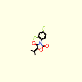 CC(C)=C1OC(=O)N(c2ccc(F)cc2F)C1=O